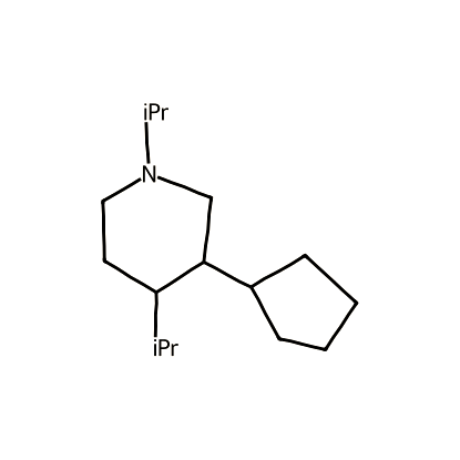 CC(C)C1CCN(C(C)C)CC1C1CCCC1